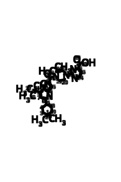 CC1(C)CCC(c2cc(C(C)(C)C)c3oc(C(=O)N4CCN(c5nccc(C(=O)O)n5)CC4(C)C)cc3n2)CC1